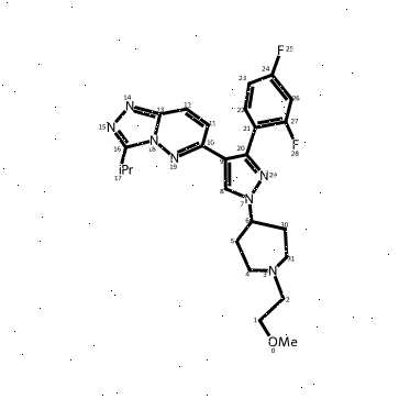 COCCN1CCC(n2cc(-c3ccc4nnc(C(C)C)n4n3)c(-c3ccc(F)cc3F)n2)CC1